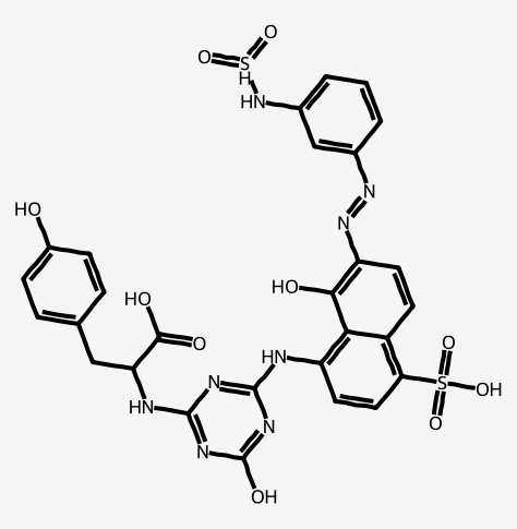 O=C(O)C(Cc1ccc(O)cc1)Nc1nc(O)nc(Nc2ccc(S(=O)(=O)O)c3ccc(N=Nc4cccc(N[SH](=O)=O)c4)c(O)c23)n1